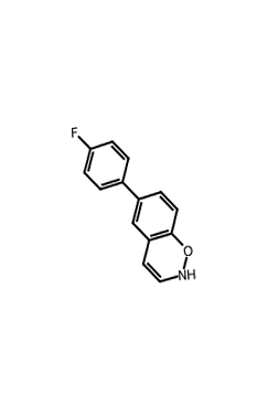 Fc1ccc(-c2ccc3c(c2)C=CNO3)cc1